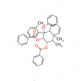 Cc1ccccc1C1(Oc2ccccc2)C(OC(=O)c2ccccc2)C(OC(=O)c2ccccc2)C(C)C2(C)C=CC=CC21